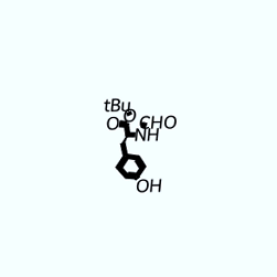 CC(C)(C)OC(=O)[C@H](Cc1ccc(O)cc1)NC=O